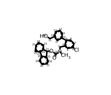 CN(Cc1cc(Cl)ccc1-c1cccc(CO)c1)C(=O)OC1c2ccccc2-c2ccccc21